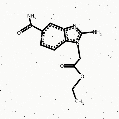 CCOC(=O)Cn1c(N)nc2cc(C(N)=O)ccc21